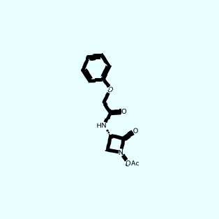 CC(=O)ON1C[C@H](NC(=O)COc2ccccc2)C1=O